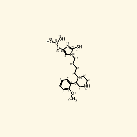 COc1ccccc1C1CNCCN1CCCCn1cc(OB(O)O)nc1S